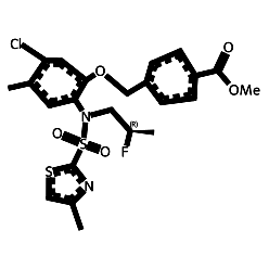 COC(=O)c1ccc(COc2cc(Cl)c(C)cc2N(C[C@@H](C)F)S(=O)(=O)c2nc(C)cs2)cc1